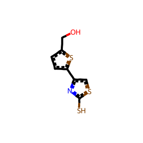 OCc1ccc(-c2csc(S)n2)s1